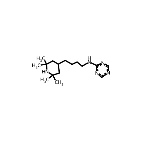 CC1(C)CC(CCCCNc2ncncn2)CC(C)(C)N1